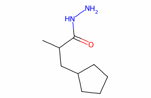 CC(CC1CCCC1)C(=O)NN